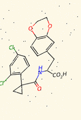 O=C(O)C(Cc1ccc2c(c1)OCCO2)NC(=O)C1(c2ccc(Cl)cc2Cl)CC1